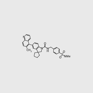 CNS(=O)(=O)c1ccc(CNC(=O)N2CC3(CCCC3)c3cc(-c4c(C)ccc5ncccc45)ccc32)cc1